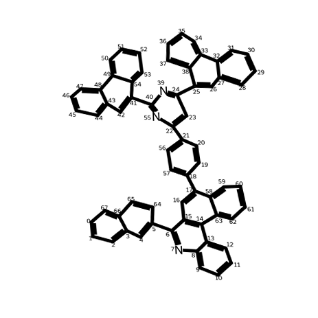 c1ccc2cc(-c3nc4ccccc4c4c3cc(-c3ccc(-c5cc(-c6cc7ccccc7c7ccccc67)nc(-c6cc7ccccc7c7ccccc67)n5)cc3)c3ccccc34)ccc2c1